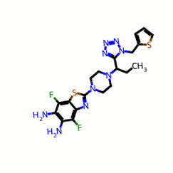 CCC(c1nnnn1Cc1cccs1)N1CCN(c2nc3c(F)c(N)c(N)c(F)c3s2)CC1